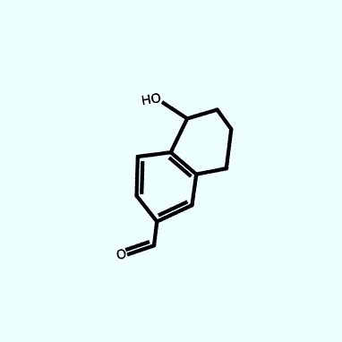 O=Cc1ccc2c(c1)CCCC2O